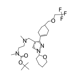 CN(CCN(C)C(=O)OC(C)(C)C)Cc1cn(C2CCCCO2)nc1C1=CCC(COCC(F)(F)F)CC1